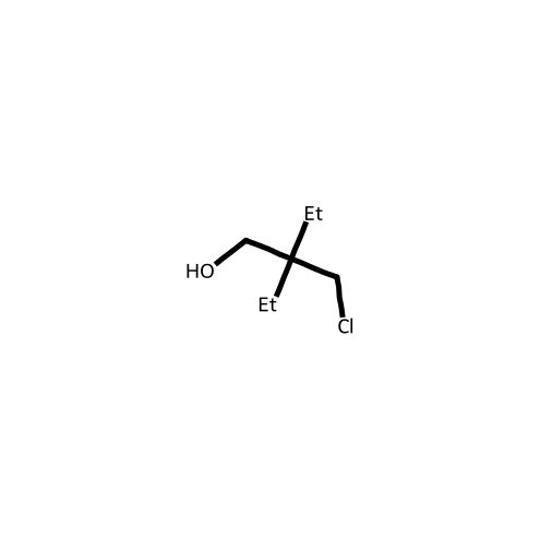 CCC(CC)(CO)CCl